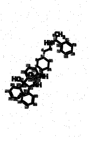 C[C@@H](NCC[C@H]1CC[C@H](NC(=O)N[C@@H](c2ccccc2)C(O)(c2ccccc2)c2ccccc2)CC1)c1ccccc1